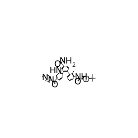 Cc1c(NC(=O)c2ccc(C(C)(C)C)cc2)cccc1-c1ccc(C(N)=O)c2[nH]c3cc(C(=O)N4CCN(C)CC4)ccc3c12